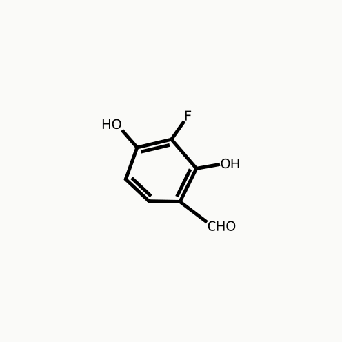 O=Cc1ccc(O)c(F)c1O